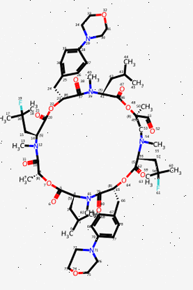 CC(C)C[C@H]1C(=O)O[C@H](C)C(=O)N(C)[C@@H](CC(C)(C)F)C(=O)O[C@H](Cc2ccc(N3CCOCC3)cc2)C(=O)N(C)[C@@H](CC(C)C)C(=O)O[C@@](C)(C=O)CN(C)[C@@H](CC(C)(C)F)C(=O)O[C@H](Cc2ccc(N3CCOCC3)cc2)C(=O)N1C